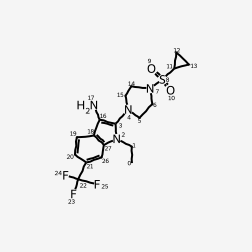 CCn1c(N2CCN(S(=O)(=O)C3CC3)CC2)c(N)c2ccc(C(F)(F)F)cc21